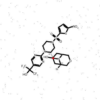 O=[N+]([O-])c1ccc(S(=O)(=O)N2CCN(c3ncc(C(O)(C(F)(F)F)C(F)(F)F)cn3)[C@@H](CN3C4COC[C@@H]3CC(O)C4)C2)s1